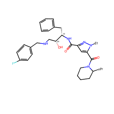 CCCC1CCCCN1C(=O)c1cc(C(=O)N[C@@H](Cc2ccccc2)[C@H](O)CNCc2ccc(F)cc2)nn1CC